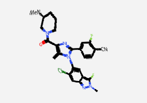 CN[C@H]1CCCN(C(=O)c2nc(-c3ccc(C#N)c(F)c3)n(-c3cc4c(F)n(C)nc4cc3Cl)c2C)C1